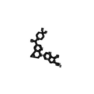 CN1Cc2cc(N3CC4CC4c4cc(C(=O)N5CCC(F)(F)CC5)cnc43)cnc2C1=O